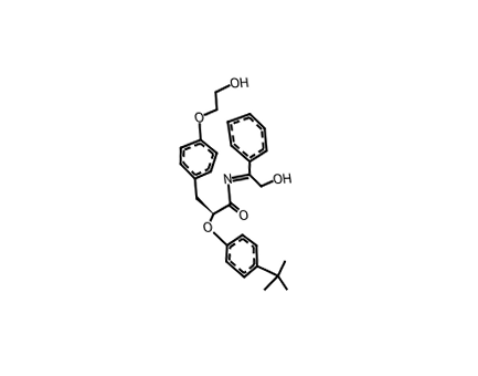 CC(C)(C)c1ccc(O[C@@H](Cc2ccc(OCCO)cc2)C(=O)/N=C(\CO)c2ccccc2)cc1